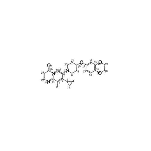 Cc1c(C2CC2)c(N2CCC(Oc3ccc4c(c3)OCCO4)CC2)nn2c(=O)ccnc12